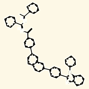 C=C(/N=C(\N=C(/C)c1ccccc1)c1ccccc1)c1ccc(-c2ccc3ccc(-c4ccc(-c5nc6ccccc6n5-c5ccccc5)cc4)cc3c2)cc1